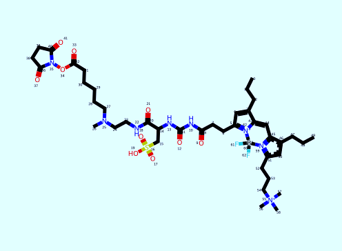 CCCC1=CC(CCC(=O)NC(=O)NC(CS(=O)(=O)O)C(=O)NCCN(C)CCCCCC(=O)ON2C(=O)CCC2=O)=[N+]2C1=Cc1c(CCC)cc(CCC[N+](C)(C)C)n1[B-]2(F)F